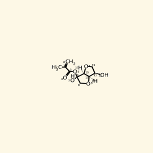 C=C(C)C(=O)O[C@@]1(O)CO[C@@H]2[C@H](O)CO[C@@H]21